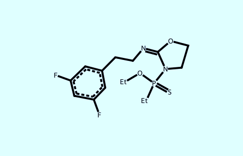 CCOP(=S)(CC)N1CCOC1=NCCc1cc(F)cc(F)c1